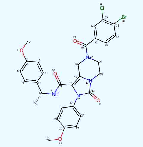 COc1ccc([C@@H](C)NC(=O)c2c3n(c(=O)n2-c2ccc(OC)cc2)CCN(C(=O)c2ccc(Br)c(Cl)c2)C3)cc1